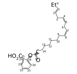 CC/C=C/C/C=C\C/C=C\CCCCCCCC(=O)Oc1ccccc1C(=O)O